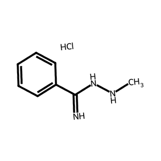 CNNC(=N)c1ccccc1.Cl